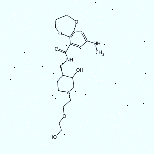 CNc1cc2c(c(C(=O)NC[C@@H]3CCN(CCOCCO)CC3O)c1)OCCCO2